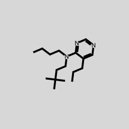 CCCCN(CCC(C)(C)C)c1ncncc1CCC